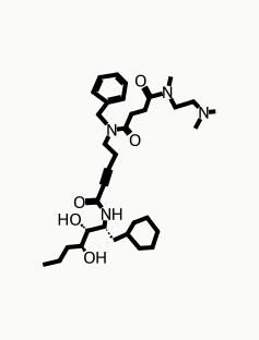 CCC[C@H](O)[C@H](O)[C@@H](CC1CCCCC1)NC(=O)C#CCCN(Cc1ccccc1)C(=O)CCC(=O)N(C)CCN(C)C